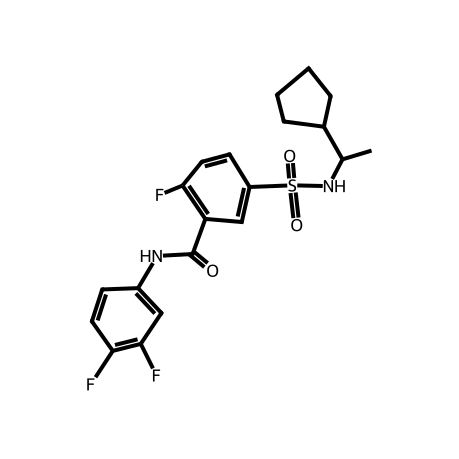 CC(NS(=O)(=O)c1ccc(F)c(C(=O)Nc2ccc(F)c(F)c2)c1)C1CCCC1